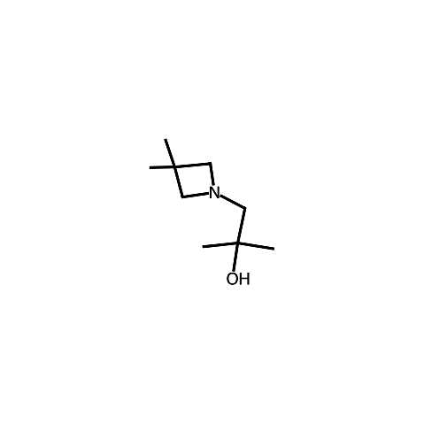 CC(C)(O)CN1CC(C)(C)C1